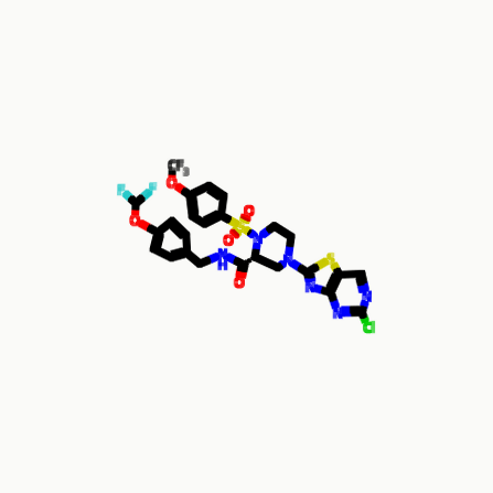 O=C(NCc1ccc(OC(F)F)cc1)[C@H]1CN(c2nc3nc(Cl)ncc3s2)CCN1S(=O)(=O)c1ccc(OC(F)(F)F)cc1